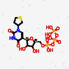 O=c1[nH]c(=O)n(C2CCSC2)cc1[C@@H]1O[C@H](COP(=O)(O)OP(=O)(O)OP(=O)(O)O)C(O)C1O